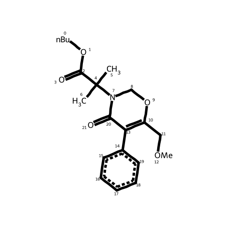 CCCCOC(=O)C(C)(C)N1COC(COC)=C(c2ccccc2)C1=O